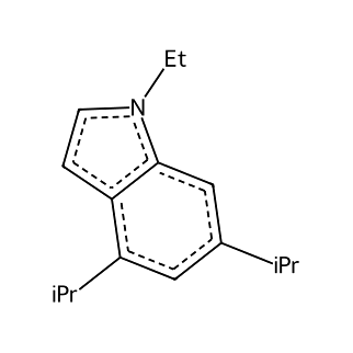 CCn1ccc2c(C(C)C)cc(C(C)C)cc21